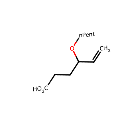 C=CC(CCC(=O)O)OCCCCC